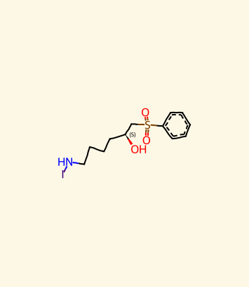 O=S(=O)(C[C@@H](O)CCCCNI)c1ccccc1